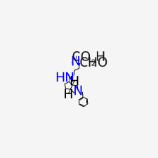 CN(C(=O)O)[C@H](C=O)CCCN[C@@H]1CC[C@H]2CN(Cc3ccccc3)C[C@H]21